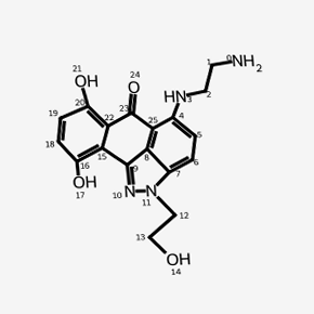 NCCNc1ccc2c3c(nn2CCO)-c2c(O)ccc(O)c2C(=O)c13